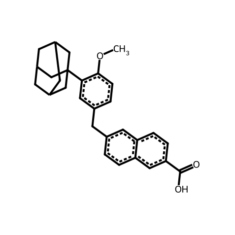 COc1ccc(Cc2ccc3cc(C(=O)O)ccc3c2)cc1C12CC3CC(CC(C3)C1)C2